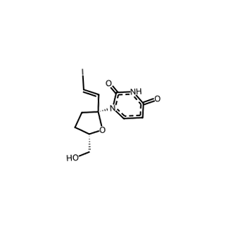 O=c1ccn([C@@]2(C=CI)CC[C@@H](CO)O2)c(=O)[nH]1